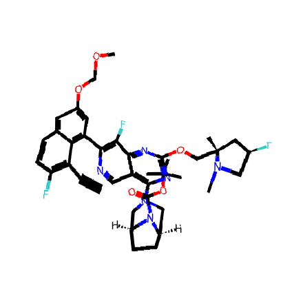 C#Cc1c(F)ccc2cc(OCOC)cc(-c3ncc4c(N5C[C@H]6CC[C@@H](C5)N6C(=O)OC(C)(C)C)nc(OC[C@]5(C)C[C@@H](F)CN5C)nc4c3F)c12